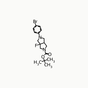 CC(C)(C)OC(=O)N1CC2CN(c3ccc(Br)cc3)CC2(F)C1